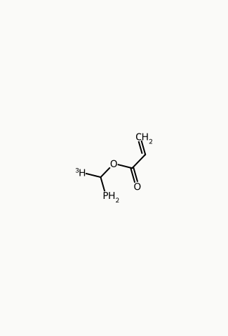 [3H]C(P)OC(=O)C=C